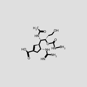 BNC(=O)O[C@@H](CCO)[C@@H](NC(C)=O)[C@@H]1C=C(C(=O)O)C[C@H]1NC(=N)N